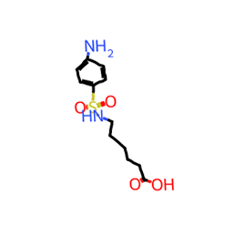 Nc1ccc(S(=O)(=O)NCCCCCC(=O)O)cc1